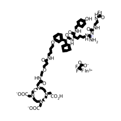 CCC(=O)NCCNC(=O)/N=C(/N)NCCCC(NC(=O)[C@H](c1ccccc1)c1cccc(OCCCCNC(=O)CCOCCNC(=O)CN2CCN(CC(=O)[O-])CCN(CC(=O)[O-])CCN(CC(=O)O)CC2)c1)C(=O)NCc1ccc(O)cc1.O=C([O-])C(F)(F)F.[In+3]